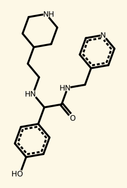 O=C(NCc1ccncc1)C(NCCC1CCNCC1)c1ccc(O)cc1